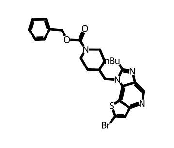 CCCCc1nc2cnc3cc(Br)sc3c2n1CC1CCN(C(=O)OCc2ccccc2)CC1